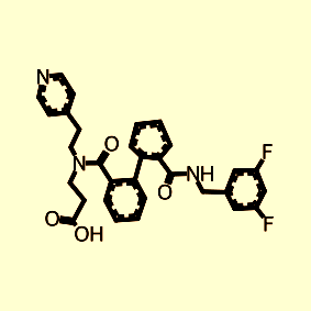 O=C(O)CCN(CCc1ccncc1)C(=O)c1ccccc1-c1ccccc1C(=O)NCc1cc(F)cc(F)c1